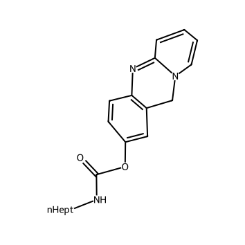 CCCCCCCNC(=O)Oc1ccc2c(c1)CN1C=CC=CC1=N2